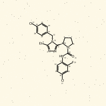 CCc1nnc([C@H]2CCCN2C(=O)Nc2ccc(Cl)cc2F)n1Cc1ccc(Cl)cc1